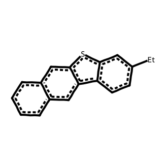 CCc1ccc2c(c1)sc1cc3ccccc3cc12